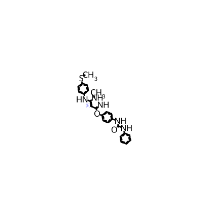 CN/C(=C\C(=N)Oc1ccc(NC(=O)Nc2ccccc2)cc1)Nc1ccc(SC)cc1